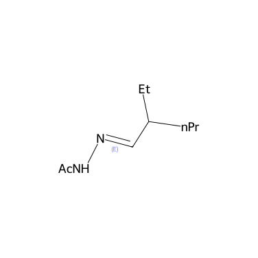 CCCC(/C=N/NC(C)=O)CC